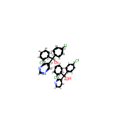 OC(c1ccc(Cl)cc1)(c1cccnc1)c1ccccc1Cl.OC(c1ccc(Cl)cc1)(c1cncnc1)c1ccccc1Cl